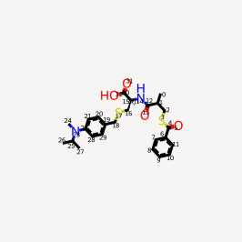 CC(CSC(=O)c1ccccc1)C(=O)N[C@@H](CSCc1ccc(N(C)C(C)C)cc1)C(=O)O